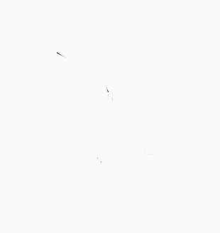 CC[C@H]1CC[C@](NC(=O)c2cnc(OC)c(Br)c2)(C(=O)OC)CC1